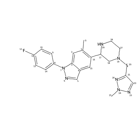 Cc1cc2c(cnn2-c2ccc(F)cc2)cc1C1CN(Sc2cnn(C)n2)CCN1